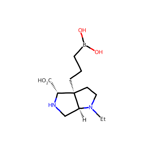 CCN1CC[C@]2(CCCB(O)O)[C@@H](C(=O)O)NC[C@H]12